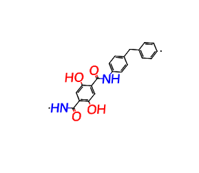 [NH]C(=O)c1cc(O)c(C(=O)Nc2ccc(Cc3cc[c]cc3)cc2)cc1O